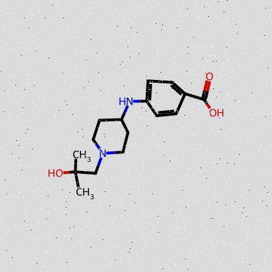 CC(C)(O)CN1CCC(Nc2ccc(C(=O)O)cc2)CC1